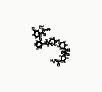 CCN(C(=O)c1cc(F)ccc1Oc1cncnc1N1CC2(CCN(C[C@H]3CC[C@H](NS(=O)(=O)N4CCC(C(N)=O)C4)CC3)CC2)C1)C(C)C